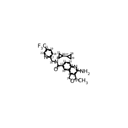 C[C@@H]1OCc2c1c(N)nc1ccc(C(=O)N(Cc3ccc(C(F)(F)F)cn3)[C@@H]3C[C@H]3C3CC3)cc21